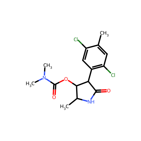 Cc1cc(Cl)c(C2C(=O)NC(C)C2OC(=O)N(C)C)cc1Cl